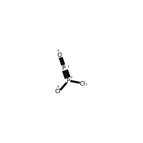 O=P#P(Cl)Cl